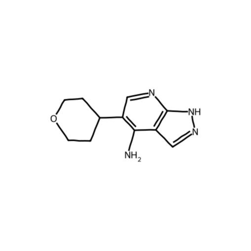 Nc1c(C2CCOCC2)cnc2[nH]ncc12